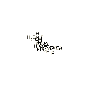 C/C=C(\C=C/CN1CCOCC1)Nc1ncnc(Oc2cc(F)c3[nH]c(C)cc3c2F)c1C(=O)N(C)CC